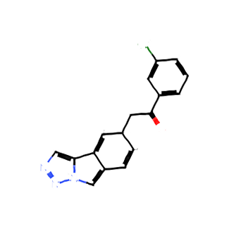 O=C(CC1C=Cc2cn3nncc3c2=C1)c1cccc(Cl)c1